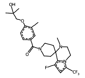 Cc1cc(C(=O)N2CCC3(CC2)c2c(F)cc(C(F)(F)F)n2CCN3C)ccc1OCC(C)(C)O